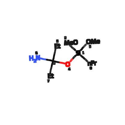 CCC[Si](OC)(OC)OC(N)(CC)CC